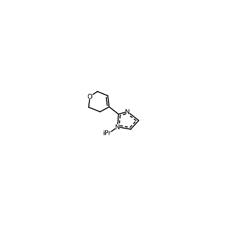 CC(C)n1ccnc1C1=CCOCC1